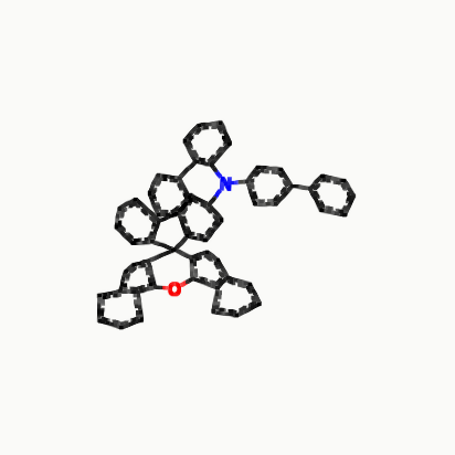 c1ccc(-c2ccc(N(c3ccc4c(c3)-c3ccccc3C43c4ccc5ccccc5c4Oc4c3ccc3ccccc43)c3ccccc3-c3ccccc3)cc2)cc1